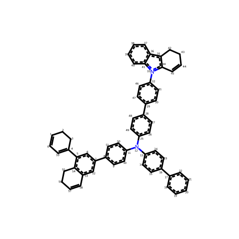 C1=CCCC(c2cc(-c3ccc(N(c4ccc(-c5ccccc5)cc4)c4ccc(-c5ccc(-n6c7c(c8ccccc86)CCC=C7)cc5)cc4)cc3)cc3c2CCC=C3)=C1